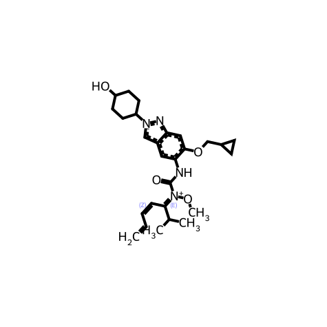 C=C/C=C\C(C(C)C)=[N+](\OC)C(=O)Nc1cc2cn(C3CCC(O)CC3)nc2cc1OCC1CC1